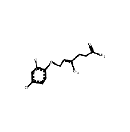 C/C(=C\COc1ccc(Cl)cc1Cl)CCC(N)=O